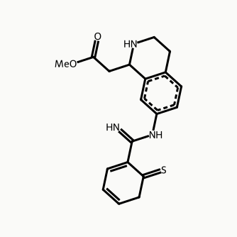 COC(=O)CC1NCCc2ccc(NC(=N)C3=CC=CCC3=S)cc21